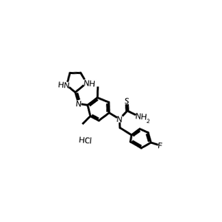 Cc1cc(N(Cc2ccc(F)cc2)C(N)=S)cc(C)c1N=C1NCCN1.Cl